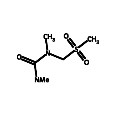 CNC(=O)N(C)CS(C)(=O)=O